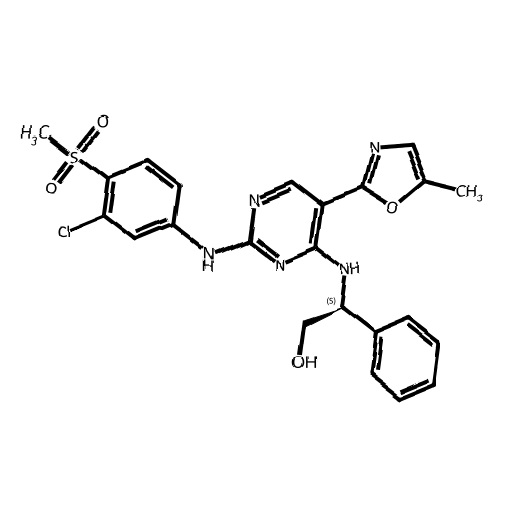 Cc1cnc(-c2cnc(Nc3ccc(S(C)(=O)=O)c(Cl)c3)nc2N[C@H](CO)c2ccccc2)o1